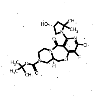 CC(C)(C)OC(=O)N1CCN2C(=O)c3c(N4C[C@H](O)CC4(C)C)nc(Cl)c(F)c3OC[C@H]2C1